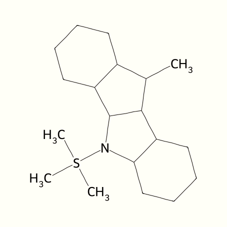 CC1C2CCCCC2C2C1C1CCCCC1N2S(C)(C)C